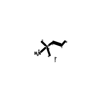 CC=C[N+](C)(C)N.[I-]